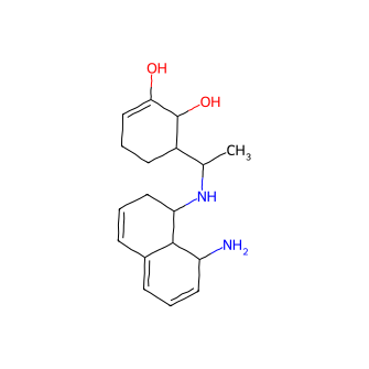 CC(NC1CC=CC2=CC=CC(N)C21)C1CCC=C(O)C1O